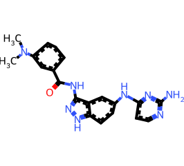 CN(C)c1cccc(C(=O)Nc2n[nH]c3ccc(Nc4ccnc(N)n4)cc23)c1